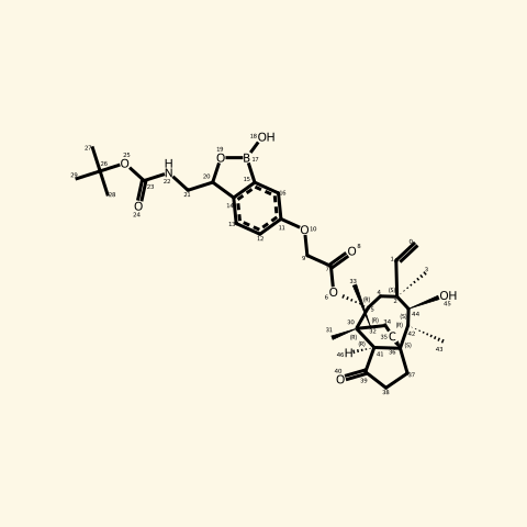 C=C[C@]1(C)C[C@@H](OC(=O)COc2ccc3c(c2)B(O)OC3CNC(=O)OC(C)(C)C)[C@]2(C)[C@H](C)CC[C@]3(CCC(=O)[C@H]32)[C@@H](C)[C@@H]1O